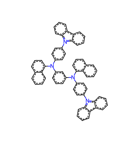 c1cc(N(c2ccc(-n3c4ccccc4c4ccccc43)cc2)c2cccc3ccccc23)cc(N(c2ccc(-n3c4ccccc4c4ccccc43)cc2)c2cccc3ccccc23)c1